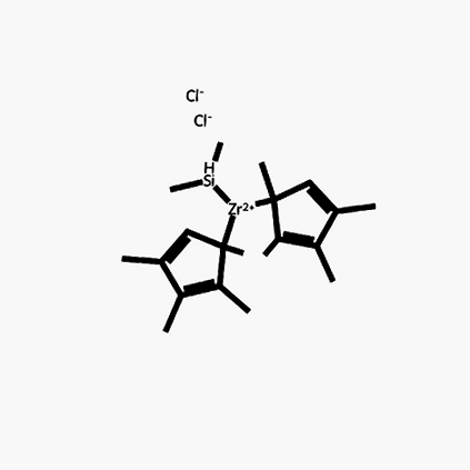 CC1=C[C](C)([Zr+2]([SiH](C)C)[C]2(C)C=C(C)C(C)=C2C)C(C)=C1C.[Cl-].[Cl-]